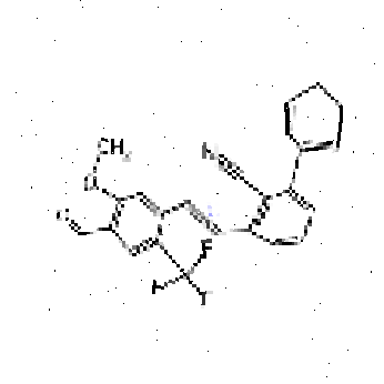 COc1cc(/C=C/c2cccc(C3=CCCC=C3)c2C#N)c(C(F)(F)F)cc1C=O